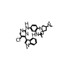 CC(=O)Nc1cc(Nc2ncc(Cl)c(-c3cn(C)c4ccccc34)n2)ccc1N1CCC(N(C)C)C1